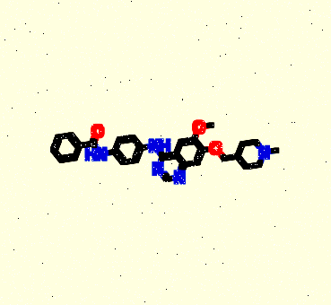 COc1cc2c(Nc3ccc(NC(=O)c4ccccc4)cc3)ncnc2cc1OCC1CCN(C)CC1